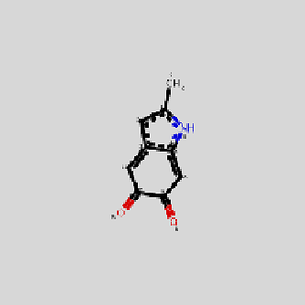 Cc1cc2c([nH]1)=CC(=O)C(=O)C=2